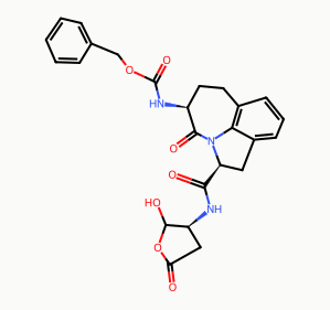 O=C1C[C@H](NC(=O)[C@@H]2Cc3cccc4c3N2C(=O)[C@@H](NC(=O)OCc2ccccc2)CC4)C(O)O1